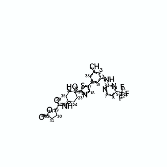 Cc1cc(Nc2nccc(C(F)(F)F)n2)cc(-c2cnc(C3(O)CCC(NC(=O)C4CCC(=O)O4)CC3)s2)c1